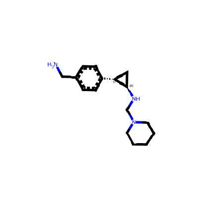 NCc1ccc([C@@H]2C[C@H]2NCN2CCCCC2)cc1